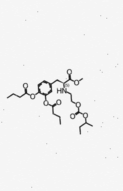 CCCC(=O)Oc1ccc(C[C@H](NCCOC(=O)OC(C)CC)C(=O)OC)cc1OC(=O)CCC